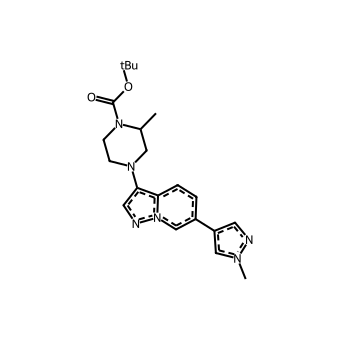 CC1CN(c2cnn3cc(-c4cnn(C)c4)ccc23)CCN1C(=O)OC(C)(C)C